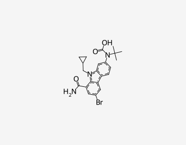 CC(C)(C)N(C(=O)O)c1ccc2c3cc(Br)cc(C(N)=O)c3n(CC3CC3)c2c1